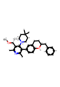 Cc1nc(C)c([C@H](OC(C)(C)C)C(=O)O)c(N2CCC(C)(C)CC2)c1-c1ccc2c(c1)CCC(Cc1ccccc1)O2